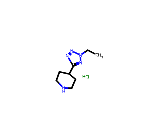 CCn1nnc(C2CCNCC2)n1.Cl